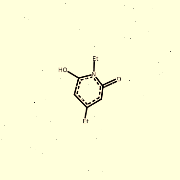 CCc1cc(O)n(CC)c(=O)c1